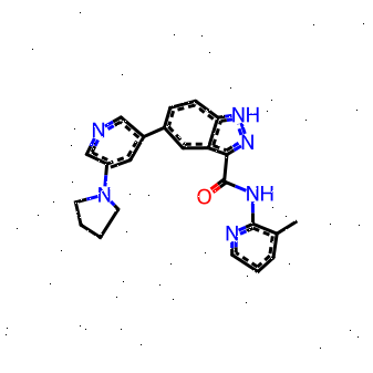 Cc1cccnc1NC(=O)c1n[nH]c2ccc(-c3cncc(N4CCCC4)c3)cc12